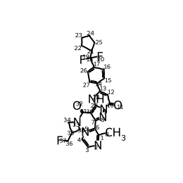 Cc1nccnc1-c1nn2c(=O)cc(-c3ccc(C(F)(F)C4CCCC4)cc3)[nH]c2c1C(=O)N1CC(CF)C1